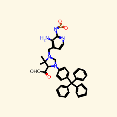 CC1(C)C(C(=O)C=O)N(c2ccc(C(c3ccccc3)(c3ccccc3)c3ccccc3)cc2)CN1Cc1ccnc(N=S(=O)=O)c1N